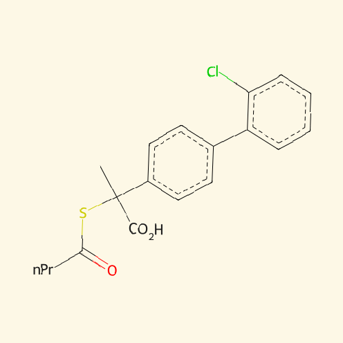 CCCC(=O)SC(C)(C(=O)O)c1ccc(-c2ccccc2Cl)cc1